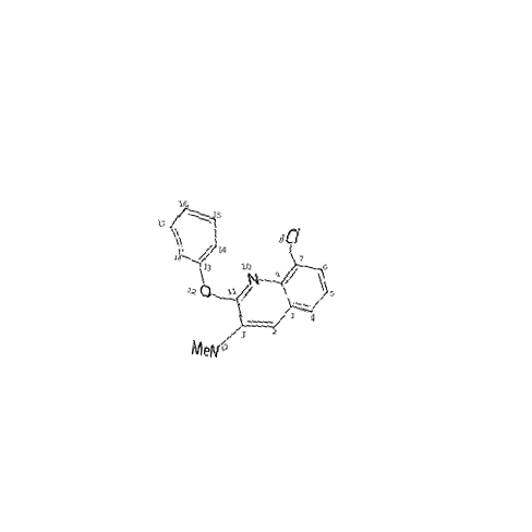 CNc1cc2cccc(Cl)c2nc1Oc1ccccc1